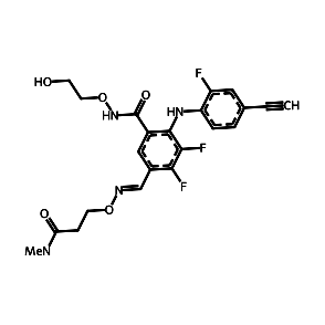 C#Cc1ccc(Nc2c(C(=O)NOCCO)cc(C=NOCCC(=O)NC)c(F)c2F)c(F)c1